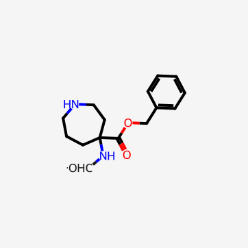 O=[C]NC1(C(=O)OCc2ccccc2)CCCNCC1